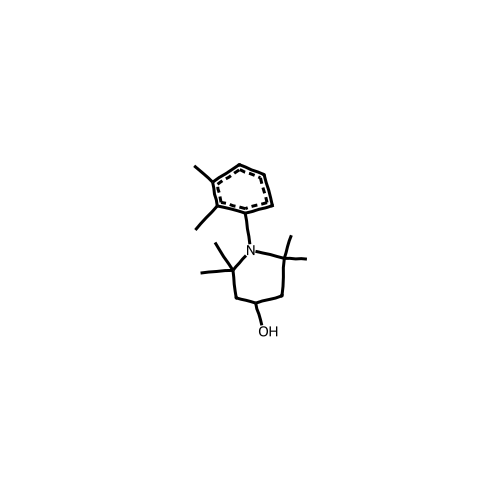 Cc1cccc(N2C(C)(C)CC(O)CC2(C)C)c1C